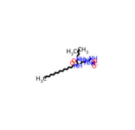 CCCCCCCCCCCCCC(=O)N[C@@H](CCCNC(=N)N[N+](=O)[O-])C(=O)NCCC(C)C